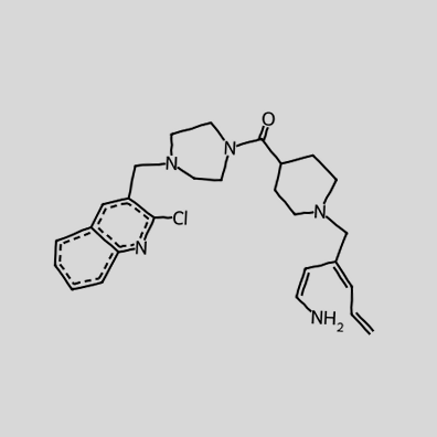 C=C/C=C(\C=C/N)CN1CCC(C(=O)N2CCN(Cc3cc4ccccc4nc3Cl)CC2)CC1